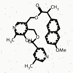 COc1ccc2cc(C(C)C(=O)OCc3cnc(C)c(O)c3COC(=O)c3cncc(C)c3)ccc2c1